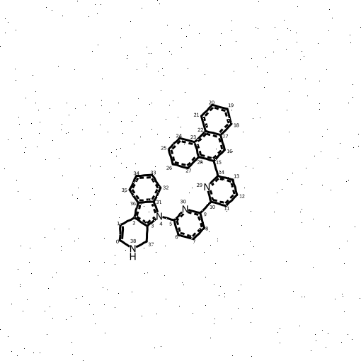 C1=Cc2c(n(-c3cccc(-c4cccc(-c5cc6ccccc6c6ccccc56)n4)n3)c3ccccc23)CN1